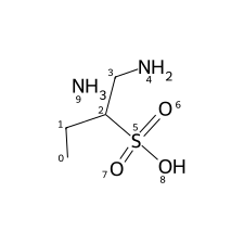 CCC(CN)S(=O)(=O)O.N